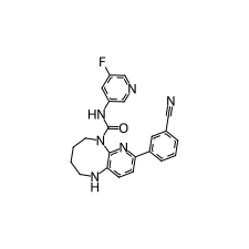 N#Cc1cccc(-c2ccc3c(n2)N(C(=O)Nc2cncc(F)c2)CCCCN3)c1